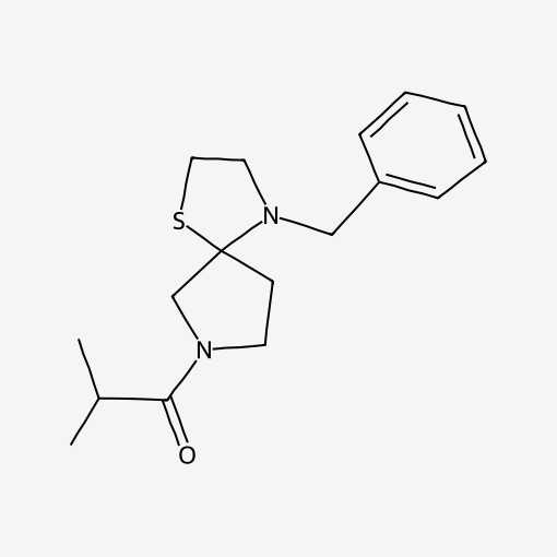 CC(C)C(=O)N1CCC2(C1)SCCN2Cc1ccccc1